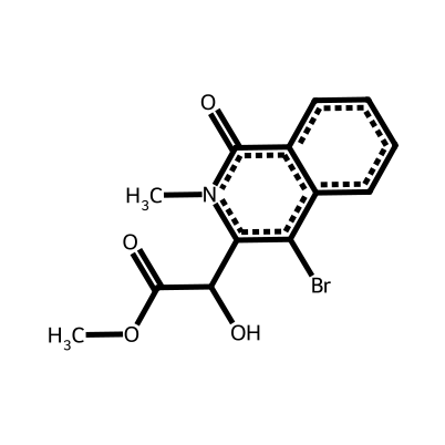 COC(=O)C(O)c1c(Br)c2ccccc2c(=O)n1C